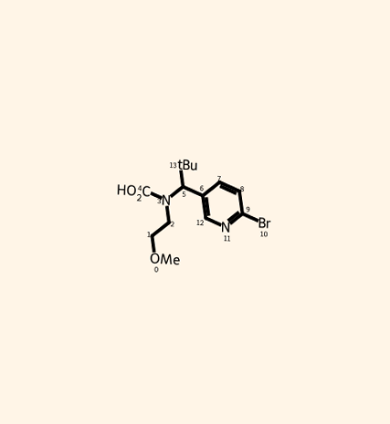 COCCN(C(=O)O)C(c1ccc(Br)nc1)C(C)(C)C